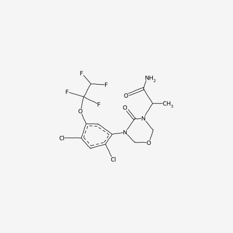 CC(C(N)=O)N1COCN(c2cc(OC(F)(F)C(F)F)c(Cl)cc2Cl)C1=O